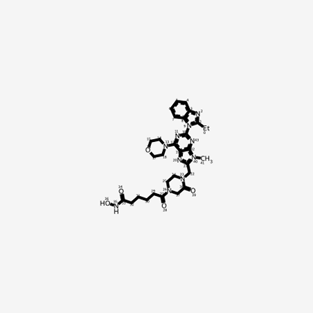 CCc1nc2ccccc2n1-c1nc(N2CCOCC2)c2nc(CN3CCN(C(=O)CCCCC(=O)NO)CC3=O)n(C)c2n1